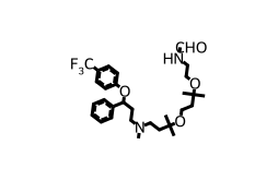 CN(CCC(Oc1ccc(C(F)(F)F)cc1)c1ccccc1)CCC(C)(C)OCCC(C)(C)OCCNC=O